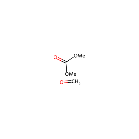 C=O.COC(=O)OC